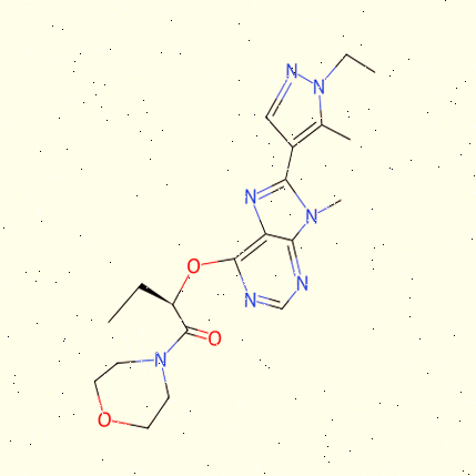 CC[C@@H](Oc1ncnc2c1nc(-c1cnn(CC)c1C)n2C)C(=O)N1CCOCC1